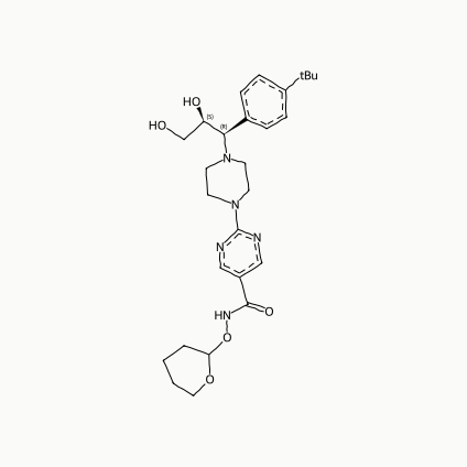 CC(C)(C)c1ccc([C@H]([C@H](O)CO)N2CCN(c3ncc(C(=O)NOC4CCCCO4)cn3)CC2)cc1